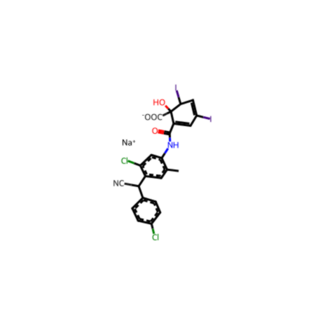 Cc1cc(C(C#N)c2ccc(Cl)cc2)c(Cl)cc1NC(=O)C1=CC(I)=CC(I)C1(O)C(=O)[O-].[Na+]